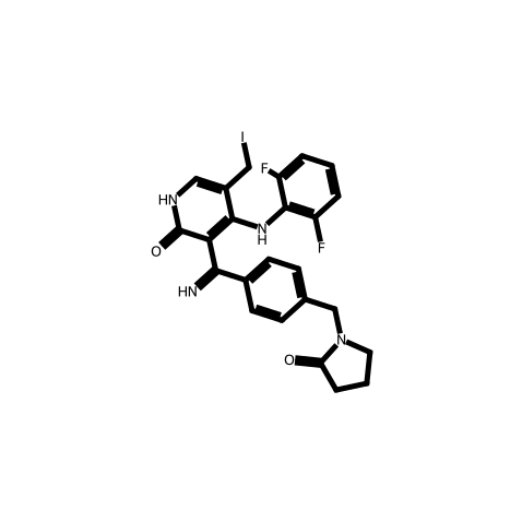 N=C(c1ccc(CN2CCCC2=O)cc1)c1c(Nc2c(F)cccc2F)c(CI)c[nH]c1=O